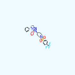 O=c1n(C2CCN(S(=O)(=O)c3ccc(C(F)(F)F)cc3)CC2)nc2n1[C@H](c1ccccc1)CC2